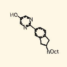 CCCCCCCCC1Cc2ccc(-c3ncc(O)cn3)cc2C1